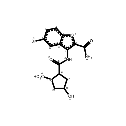 NC(=O)c1oc2ccc(Br)cc2c1NC(=O)C1CC(O)CN1C(=O)O